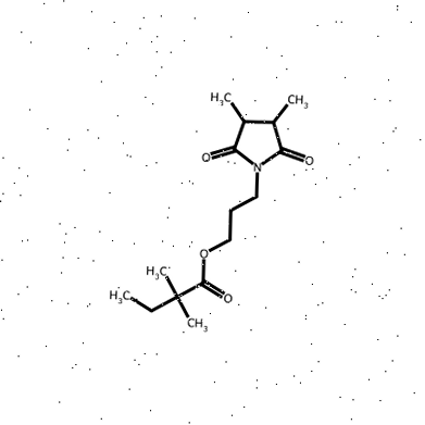 CCC(C)(C)C(=O)OCCCN1C(=O)C(C)C(C)C1=O